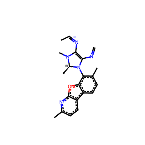 C=NC1=C(/N=C\C)N(C)[C@H](C)N1c1c(C)ccc2c1oc1nc(C)ccc12